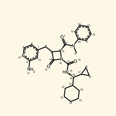 CN(C(=O)[C@@H]1C(Cc2ccnc(N)c2)C(=O)N1C(=O)N[C@H](C1CCCCC1)C1CC1)c1ccccc1